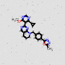 COc1ncnc(C2CC2)c1-c1ncc2c(n1)N(Cc1ccc(-c3nnc(C)o3)cc1)CC=C2